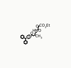 CCOC(=O)C1OC1C(=O)NCCC(C)CC(=O)N1CCN(C(c2ccccc2)c2ccccc2)CC1